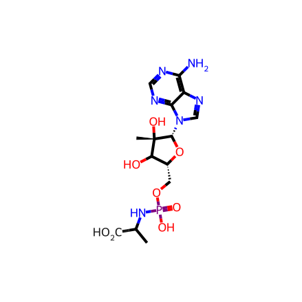 CC(NP(=O)(O)OC[C@H]1O[C@@H](n2cnc3c(N)ncnc32)[C@@](C)(O)C1O)C(=O)O